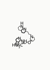 O=C(O)[C@@H](CCO[C@@H]1CCCN(CCCc2ccc3c(n2)NCCC3)C1)Nc1nccc2ccsc12